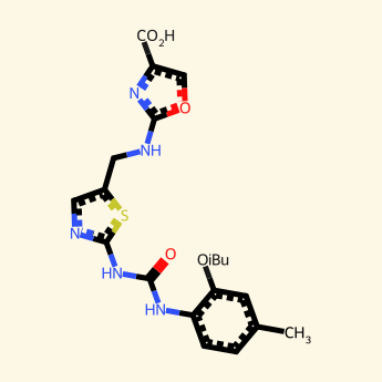 Cc1ccc(NC(=O)Nc2ncc(CNc3nc(C(=O)O)co3)s2)c(OCC(C)C)c1